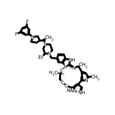 C=C1/N=C2\Nc3ccc(CN4CCN(C(=C)C5CCN(c6cc(F)cc(F)c6)C5)CC4CC)cc3N2C[C@H](C)CCCC/C(NC)=C(/C=N)c2cc1cc(C)n2